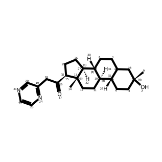 C[C@@]1(O)CC[C@H]2C(CC[C@@H]3[C@@H]2CC[C@]2(C)[C@@H](C(=O)Cc4cnccn4)CC[C@@H]32)C1